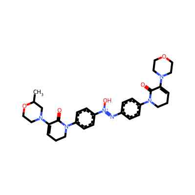 CC1CN(C2=CCCN(c3ccc(/[N+](O)=N/c4ccc(N5CCC=C(N6CCOCC6)C5=O)cc4)cc3)C2=O)CCO1